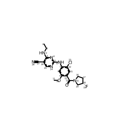 CCNc1nc(Nc2cc(OC)c(C(=O)N3CC[C@H](F)C3)cc2Cl)ncc1C#N